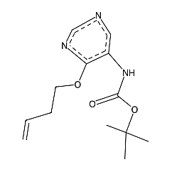 C=CCCOc1ncncc1NC(=O)OC(C)(C)C